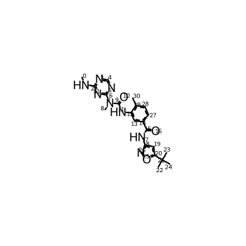 CNc1ncnc(N(C)C(=O)Nc2cc(C(=O)Nc3cc(C(C)(C)C)on3)ccc2C)n1